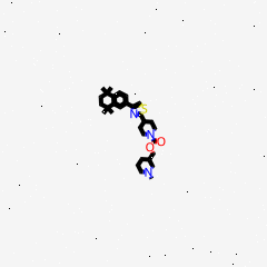 CN1CCCC(COC(=O)N2CCC(c3nc(-c4ccc5c(c4)C(C)(C)CCC5(C)C)cs3)CC2)C1